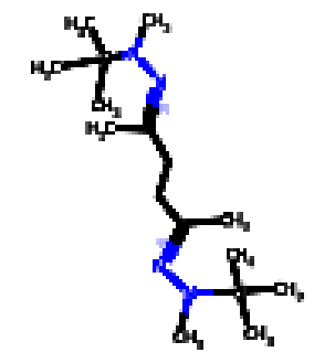 C/C(CC/C(C)=N/N(C)[Si](C)(C)C)=N\N(C)[Si](C)(C)C